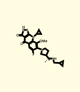 COc1c(N2CCC([C@@H](C)NCC3CC3)C2)c(F)cc2c(=O)c3c(=O)[nH]sc3n(C3CC3)c12